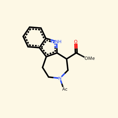 COC(=O)C1CN(C(C)=O)CCc2c1[nH]c1ccccc21